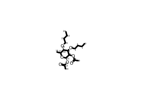 CCCCOC1C(OC(C)=O)[C@H](OC(C)=O)OC(C)[C@@H]1OCCCC